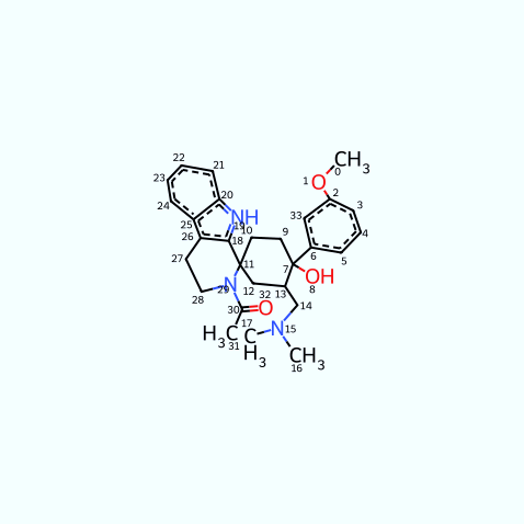 COc1cccc(C2(O)CCC3(CC2CN(C)C)c2[nH]c4ccccc4c2CCN3C(C)=O)c1